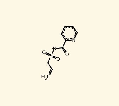 C=CCS(=O)(=O)[N]C(=O)c1ccccn1